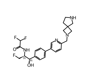 O=C(N[C@H](CF)[C@H](O)c1ccc(-c2ccc(CN3CC4(CCNC4)C3)nc2)cc1)C(F)F